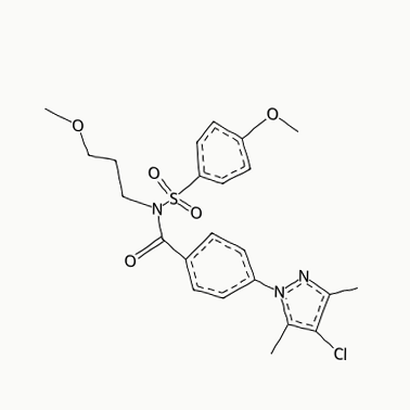 COCCCN(C(=O)c1ccc(-n2nc(C)c(Cl)c2C)cc1)S(=O)(=O)c1ccc(OC)cc1